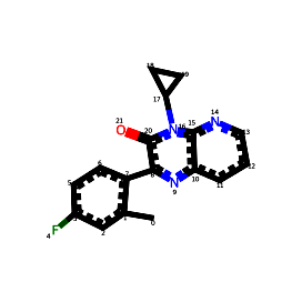 Cc1cc(F)ccc1-c1nc2cccnc2n(C2CC2)c1=O